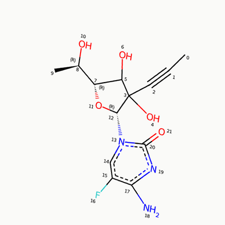 CC#CC1(O)C(O)[C@@H]([C@@H](C)O)O[C@H]1n1cc(F)c(N)nc1=O